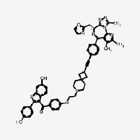 Cc1sc2c(c1C)C(c1ccc(C#CC3CC4(CCN(CCOc5ccc(C(=O)c6c(-c7ccc(O)cc7)sc7cc(O)ccc67)cc5)CC4)C3)cc1)=N[C@@H](Cc1ncco1)c1nnc(C)n1-2